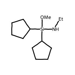 CCN[Si](OC)(C1CCCC1)C1CCCC1